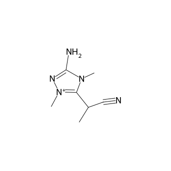 CC(C#N)c1n(C)c(N)n[n+]1C